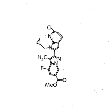 COC(=O)c1cc(F)c2c(C)c(-c3cc4ccc(Cl)nc4n3CC3CC3)nn2c1